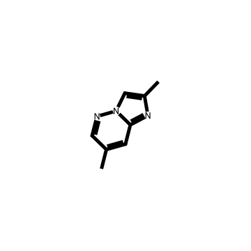 Cc1cnn2cc(C)nc2c1